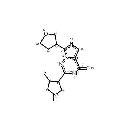 CC1CNCC1c1nn2c(C3CCOC3)ncc2c(=O)[nH]1